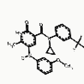 COc1cccc([S+]([O-])c2cc(C(=O)N(c3cccc(C(F)(F)F)c3)C3CC3)c(=O)[nH]c2C)c1